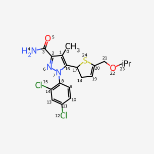 Cc1c(C(N)=O)nn(-c2ccc(Cl)cc2Cl)c1C1CC=C(COC(C)C)S1